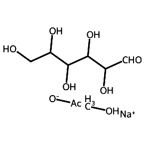 CC(=O)[O-].CO.O=CC(O)C(O)C(O)C(O)CO.[Na+]